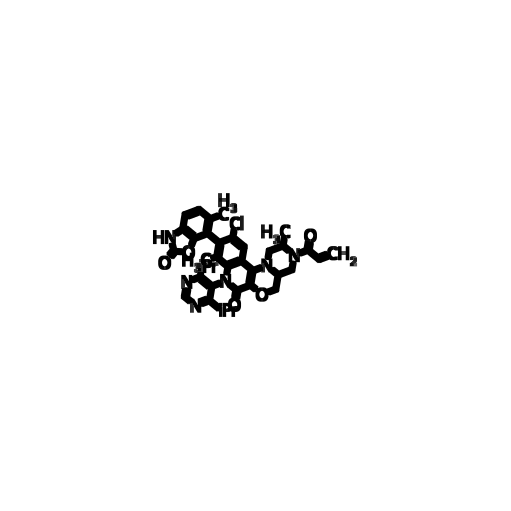 C=CC(=O)N1CC2COc3c(c4cc(Cl)c(-c5c(C)ccc6[nH]c(=O)oc56)c(C)c4n(-c4c(C(C)C)ncnc4C(C)C)c3=O)N2CC1C